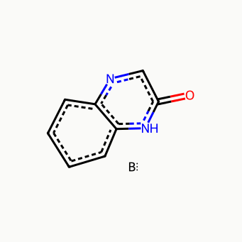 O=c1cnc2ccccc2[nH]1.[B]